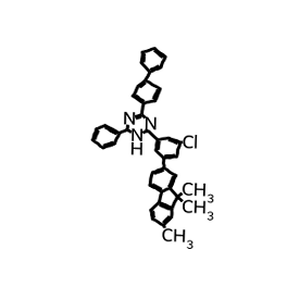 Cc1ccc2c(c1)C(C)(C)c1cc(-c3cc(Cl)cc(C4=NC(c5ccc(-c6ccccc6)cc5)=NC(c5ccccc5)N4)c3)ccc1-2